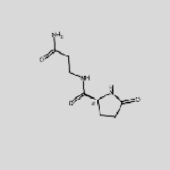 NC(=O)CCNC(=O)[C@@H]1CCC(=O)N1